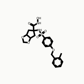 Cc1ccccc1COc1ccc(S(=O)(=O)NC2(C(=O)NO)CC3OCOC3C2)cc1